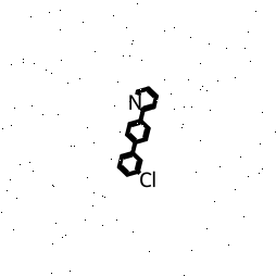 Clc1cccc(-c2ccc(-c3ccccn3)cc2)c1